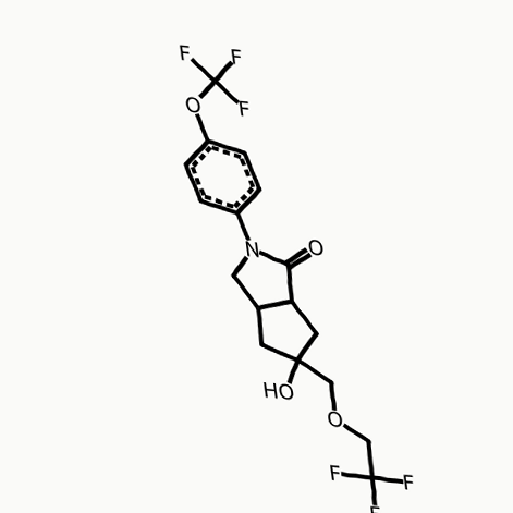 O=C1C2CC(O)(COCC(F)(F)F)CC2CN1c1ccc(OC(F)(F)F)cc1